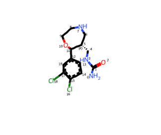 NC(=O)NC[C@H]1CNCCOC1c1ccc(Cl)c(Cl)c1